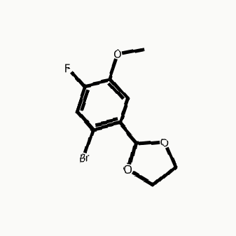 COc1cc(C2OCCO2)c(Br)cc1F